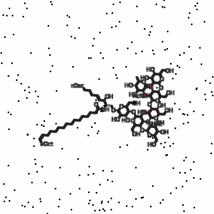 CCCCCCCC/C=C\CCCCCCCCCCCCCC(=O)N[C@@H](CO[C@@H]1OC(CO)[C@@H](O[C@@H]2OC(CO)[C@H](O[C@@H]3OC(CO)[C@H](O)[C@H](O)C3NC(C)=O)[C@H](O[C@H]3OC(CO)[C@H](O)[C@H](O[C@@H]4OC(CO)[C@@H](O[C@@H]5OC(CO)[C@H](O)[C@H](O)C5O)[C@H](O[C@H]5OC(C)[C@@H](O)C(O)[C@@H]5O)C4NC(C)=O)C3O)C2O)[C@H](O)C1O)[C@H](O)/C=C/CCCCCCCCCCCCC